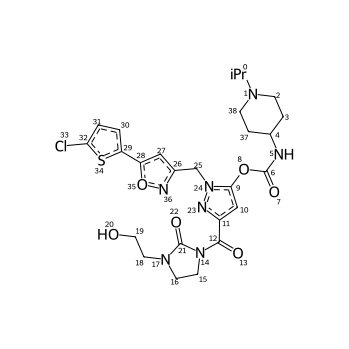 CC(C)N1CCC(NC(=O)Oc2cc(C(=O)N3CCN(CCO)C3=O)nn2Cc2cc(-c3ccc(Cl)s3)on2)CC1